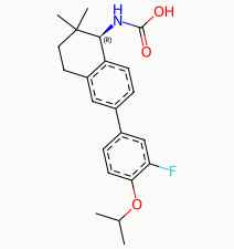 CC(C)Oc1ccc(-c2ccc3c(c2)CCC(C)(C)[C@H]3NC(=O)O)cc1F